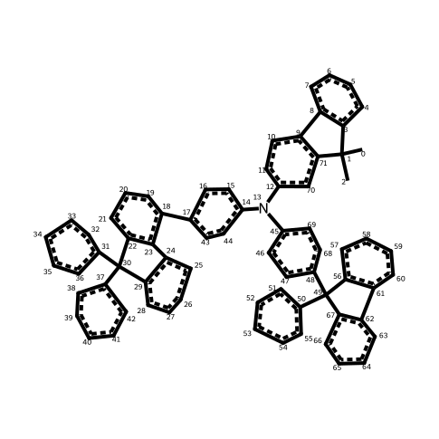 CC1(C)c2ccccc2-c2ccc(N(c3ccc(-c4cccc5c4-c4ccccc4C5(c4ccccc4)c4ccccc4)cc3)c3ccc(C4(c5ccccc5)c5ccccc5-c5ccccc54)cc3)cc21